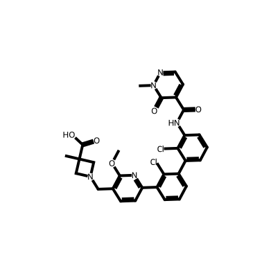 COc1nc(-c2cccc(-c3cccc(NC(=O)c4ccnn(C)c4=O)c3Cl)c2Cl)ccc1CN1CC(C)(C(=O)O)C1